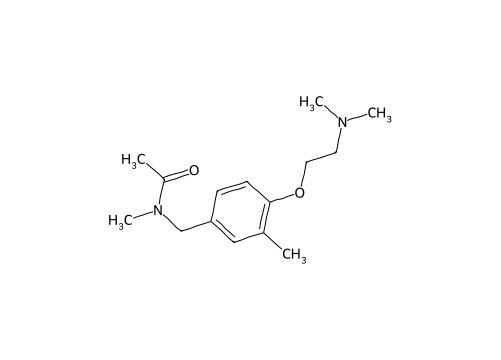 CC(=O)N(C)Cc1ccc(OCCN(C)C)c(C)c1